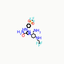 NC[C@H]1C[C@@H](NCCC(F)(F)F)CC[C@@H]1n1cc(C(N)=O)c(Nc2ccc(S(=O)(=O)C(F)(F)F)cc2)n1